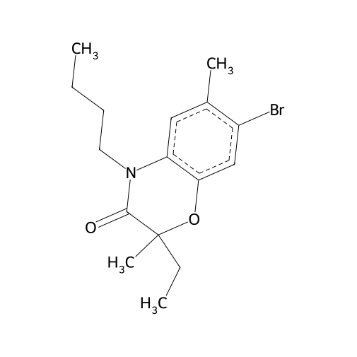 CCCCN1C(=O)C(C)(CC)Oc2cc(Br)c(C)cc21